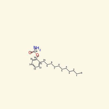 CCCCCCCCCCCc1ccccc1OC(N)=O